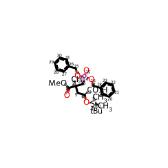 COC(=O)[C@](C)(C[C@H](O[Si](C)(C)C(C)(C)C)C(=O)O)CP(=O)(OCc1ccccc1)OCc1ccccc1